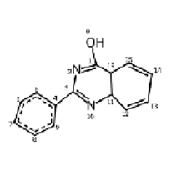 OC1=NC(c2ccccc2)=NC2C=CC=CC12